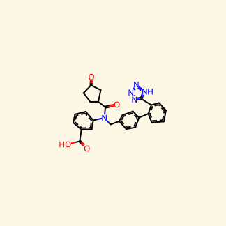 O=C1CCC(C(=O)N(Cc2ccc(-c3ccccc3-c3nnn[nH]3)cc2)c2cccc(C(=O)O)c2)C1